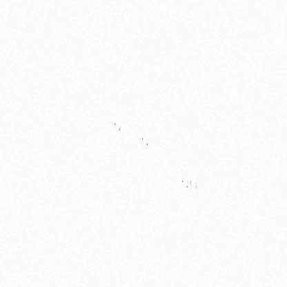 c1cc2c(nc1N1CCSCC1)CCNCC2